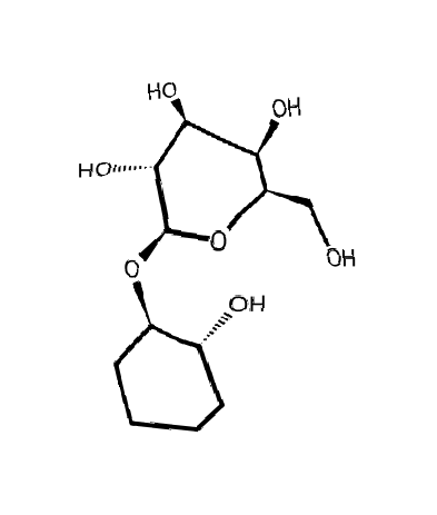 OC[C@H]1O[C@@H](O[C@@H]2CCCC[C@H]2O)[C@H](O)[C@@H](O)[C@H]1O